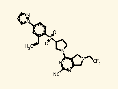 C=Cc1cc(-n2cccn2)ccc1S(=O)(=O)[C@H]1CCN(c2nc(C#N)nc3c2CN(CC(F)(F)F)C3)C1